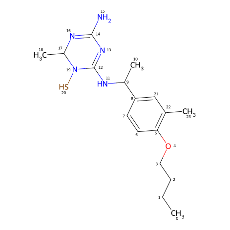 CCCCOc1ccc(C(C)NC2=NC(N)=NC(C)N2S)cc1C